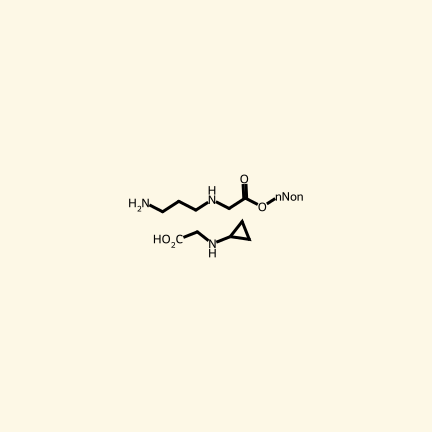 CCCCCCCCCOC(=O)CNCCCN.O=C(O)CNC1CC1